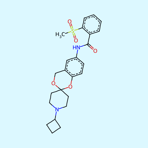 CS(=O)(=O)c1ccccc1C(=O)Nc1ccc2c(c1)COC1(CCN(C3CCC3)CC1)O2